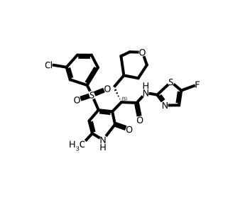 Cc1cc(S(=O)(=O)c2cccc(Cl)c2)c([C@H](CC2CCOCC2)C(=O)Nc2ncc(F)s2)c(=O)[nH]1